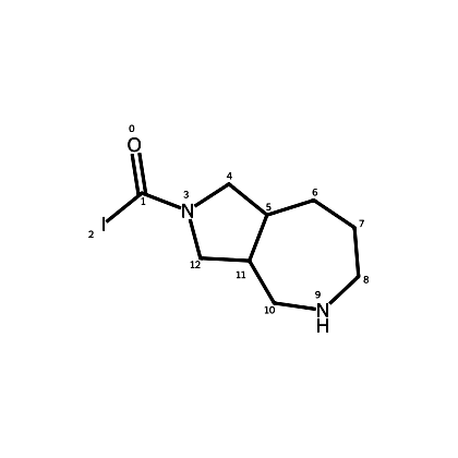 O=C(I)N1CC2CCCNCC2C1